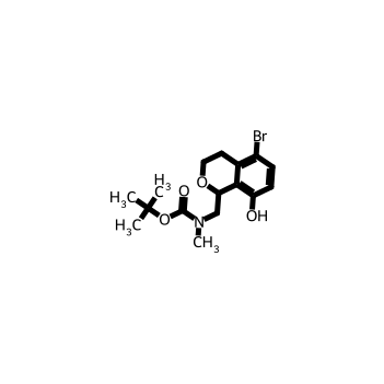 CN(CC1OCCc2c(Br)ccc(O)c21)C(=O)OC(C)(C)C